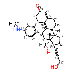 CNc1ccc([C@H]2C[C@@]3(C)[C@@H](CC[C@@]3(O)C#CCO)[C@@H]3CCC4=CC(=O)CCC4=C32)cc1